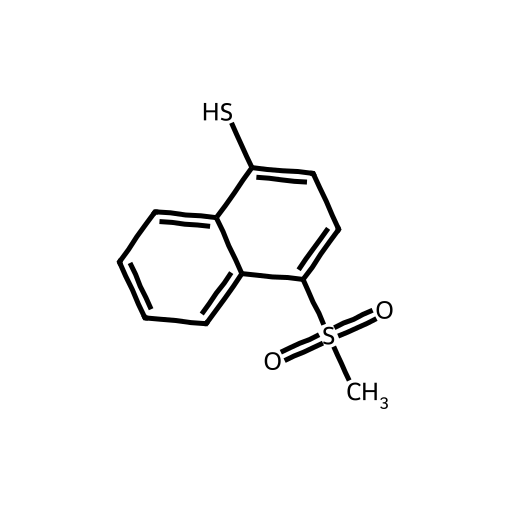 CS(=O)(=O)c1ccc(S)c2ccccc12